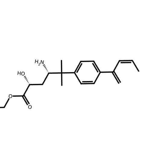 C=C(/C=C\C)c1ccc(C(C)(C)[C@@H](N)C[C@@H](O)C(=O)OCC)cc1